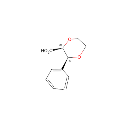 O=C(O)[C@H]1OCCO[C@H]1c1ccccc1